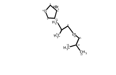 Br.C1CCOC1.CC(C)[CH2][Zn][CH2]C(C)C